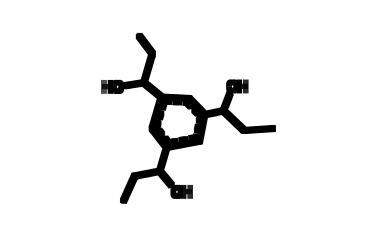 CCC(O)c1cc(C(O)CC)cc(C(O)CC)c1